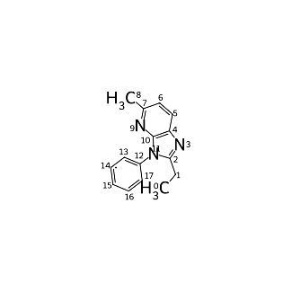 CCc1nc2ccc(C)nc2n1-c1c[c]ccc1